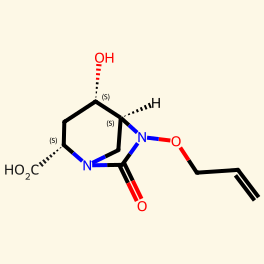 C=CCON1C(=O)N2C[C@H]1[C@@H](O)C[C@H]2C(=O)O